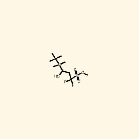 CC(C)(C)[Si](C)(C)C(O)CC(F)(F)S(=O)(=O)OF